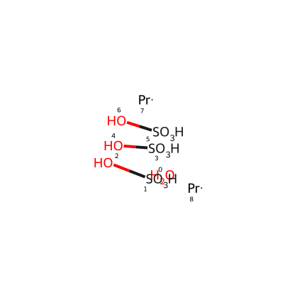 O.O=S(=O)(O)O.O=S(=O)(O)O.O=S(=O)(O)O.[Pr].[Pr]